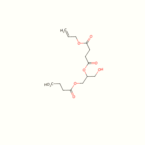 C=CCOC(=O)CCC(=O)OC(CO)COC(=O)CCC(=O)O